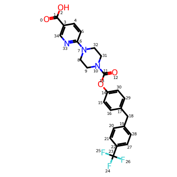 O=C(O)c1ccc(N2CCN(C(=O)Oc3ccc(Cc4ccc(C(F)(F)F)cc4)cc3)CC2)nc1